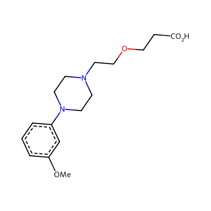 COc1cccc(N2CCN(CCOCCC(=O)O)CC2)c1